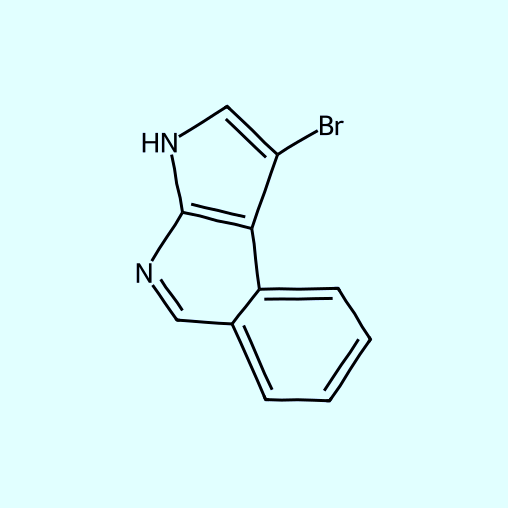 Brc1c[nH]c2ncc3ccccc3c12